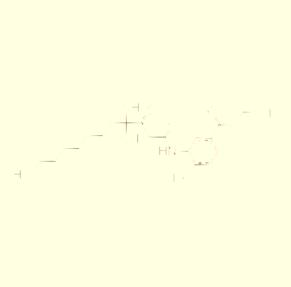 CCCCCCCCC(C)(C)C(=S)CC(=O)Nc1cc(C(=O)OCC)ccc1O